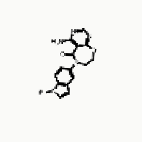 CC(C)n1ccc2cc(N3CCOc4ncnc(N)c4C3=O)ccc21